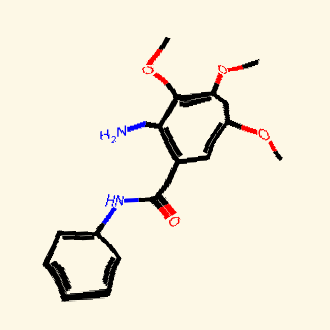 COc1cc(C(=O)Nc2ccccc2)c(N)c(OC)c1OC